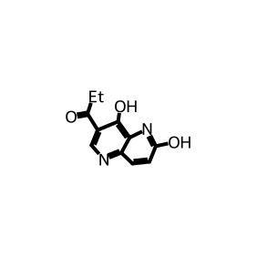 CCC(=O)c1cnc2ccc(O)nc2c1O